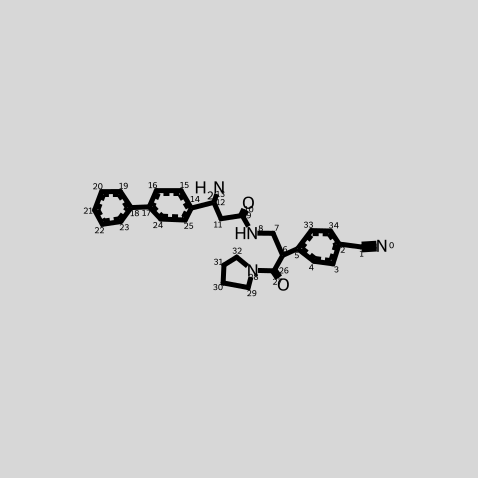 N#Cc1ccc(C(CNC(=O)CC(N)c2ccc(-c3ccccc3)cc2)C(=O)N2CCCC2)cc1